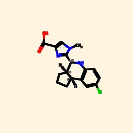 Cn1cc(C(=O)O)nc1[C@@H]1Nc2ccc(Cl)cc2[C@@H]2CCC[C@@H]21